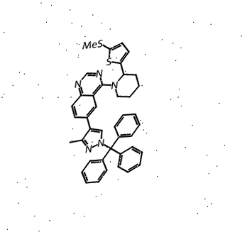 CSc1ccc(C2C[CH]CCN2c2ncnc3ccc(-c4cn(C(c5ccccc5)(c5ccccc5)c5ccccc5)nc4C)cc23)s1